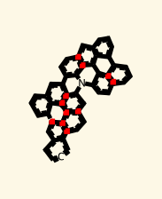 c1ccc(-c2cccc3cccc(-c4ccccc4N(c4ccc(-c5ccc6ccccc6c5)cc4)c4ccccc4-c4cc5c6c(cccc6c4)Oc4ccccc4-5)c23)cc1